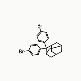 Brc1ccc(C2(c3ccc(Br)cc3)C3CC4CC(C3)CC2C4)cc1